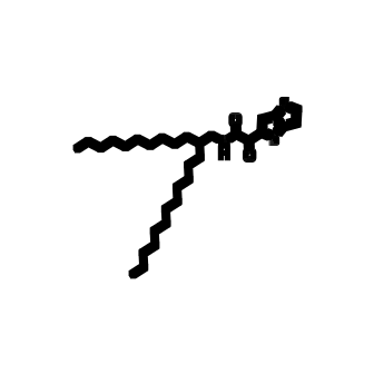 CCCCCCCCCCCCC(CCCCCCCCCC)CNC(=O)C(=O)c1cc2sccc2s1